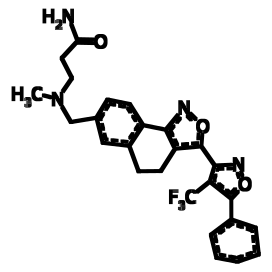 CN(CCC(N)=O)Cc1ccc2c(c1)CCc1c-2noc1-c1noc(-c2ccccc2)c1C(F)(F)F